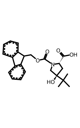 CC(C)(C)[C@@]1(O)C[C@@H](C(=O)O)N(C(=O)OCC2c3ccccc3-c3ccccc32)C1